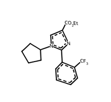 CCOC(=O)c1cn(C2CCCC2)c(-c2ccccc2C(F)(F)F)n1